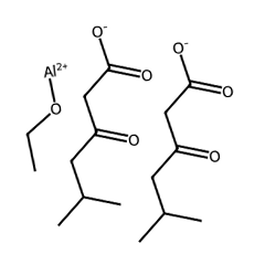 CC(C)CC(=O)CC(=O)[O-].CC(C)CC(=O)CC(=O)[O-].CC[O][Al+2]